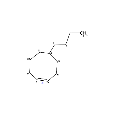 CC[CH]CC1CC/C=C\CCC1